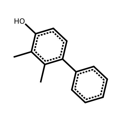 Cc1c(O)ccc(-c2ccccc2)c1C